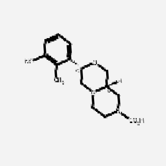 Cc1c(C#N)cccc1[C@H]1CN2CCN(C(=O)O)C[C@H]2CO1